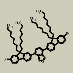 CCCCCCCCC1(CCCCCCCC)c2cc(Br)ccc2-c2ccc(-c3ccc(-c4ccc5c(c4)C(CCCCCCCC)(CCCCCCCC)c4cc(Br)ccc4-5)c4nsnc34)cc21